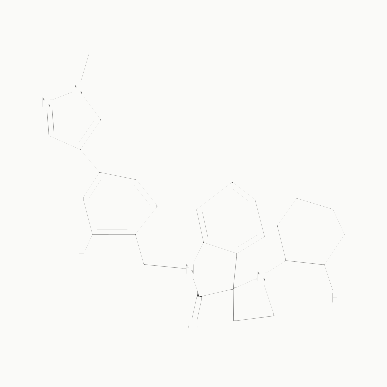 Cn1cc(-c2ccc(CN3C(=O)C4(CCN4C4CCCCC4F)c4ccccc43)c(F)c2)cn1